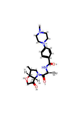 CC1CN(C(=O)[C@@H](NC(=O)c2ccc(N3CCN(C)CC3)cc2)C(C)(C)C)[C@@H]2C(=O)CO[C@H]12